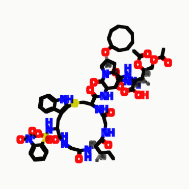 CC[C@H](C)[C@@H]1NC(=O)CNC(=O)C(NS(=O)(=O)c2ccccc2[N+](=O)[O-])Cc2c([nH]c3ccccc23)SCC(C(=O)NC(CC(N)=O)C(=O)N2C[C@H](OC3CCCCCCCC3)C[C@H]2C(=O)N[C@H](C(=O)O)[C@@H](C)[C@H](COC(C)=O)OC(C)=O)NC(=O)CNC1=O